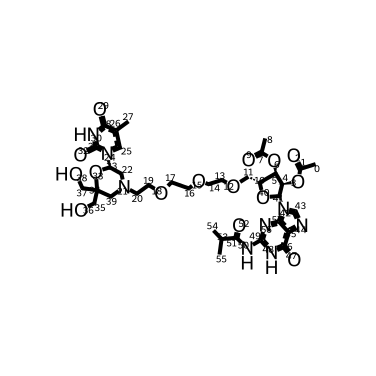 CC(=O)O[C@@H]1[C@H](OC(C)=O)[C@@H](COCCOCCOCCN2C[C@H](n3cc(C)c(=O)[nH]c3=O)OC(CO)(CO)C2)O[C@H]1n1cnc2c(=O)[nH]c(NC(=O)C(C)C)nc21